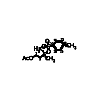 CC(=O)OCCS(C)(C)OS(=O)(=O)c1ccc(C)cc1